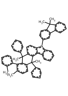 Cc1ccccc1-c1c(C)ccc2c1C(C)(c1ccccc1)c1ccc3c(c1C2(C)c1ccccc1)c1ccccc1n3-c1ccc2c(c1)-c1ccccc1C2(C)C